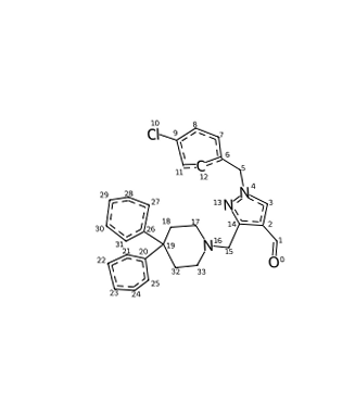 O=Cc1cn(Cc2ccc(Cl)cc2)nc1CN1CCC(c2ccccc2)(c2ccccc2)CC1